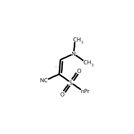 CCCS(=O)(=O)/C(C#N)=C\N(C)C